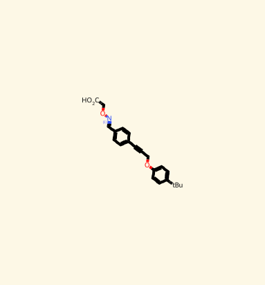 CC(C)(C)c1ccc(OCC#Cc2ccc(/C=N/OCC(=O)O)cc2)cc1